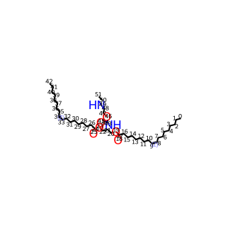 CCCCCCCC/C=C\CCCCCCCC(=O)OCC(COC(=O)CCCCCCC/C=C\CCCCCCCC)NC(=O)OCCNCC